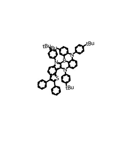 CC(C)(C)c1ccc(N2c3ccc(C(C)(C)C)cc3B3c4c2cccc4N(c2ccc(C(C)(C)C)cc2)c2c3n(-c3ccc(C(C)(C)C)cc3)c3ccc4c(-c5ccccc5)c(-c5ccccc5)sc4c23)cc1